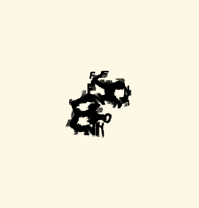 O=c1[nH]ccc2ccn(-c3ncncc3C(F)(F)F)c12